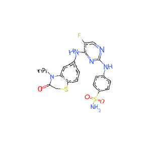 CCCN1C(=O)CSc2ccc(Nc3nc(Nc4ccc(S(N)(=O)=O)cc4)ncc3F)cc21